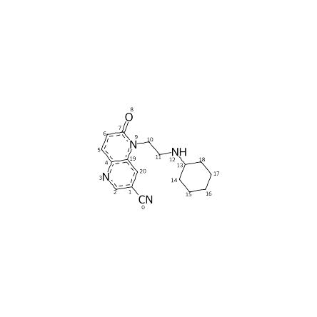 N#Cc1cnc2ccc(=O)n(CCNC3CCCCC3)c2c1